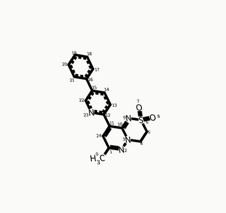 CC1=NN2CCS(=O)(=O)N=C2C(c2ccc(-c3ccccc3)cn2)=C1